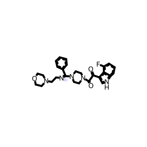 O=C(C(=O)N1CCN(/C(=N/CCN2CCOCC2)c2ccccc2)CC1)c1c[nH]c2cccc(F)c12